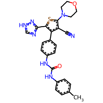 Cc1ccc(NC(=O)Nc2ccc(-c3c(-c4nc[nH]n4)sc(N4CCOCC4)c3C#N)cc2)cc1